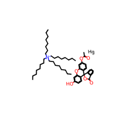 CC(=O)Oc1ccc2c(c1)Oc1cc(O)ccc1C21OC(=O)c2ccccc21.CCCCCCCC[N+](CCCCCCCC)(CCCCCCCC)CCCCCCCC.[Hg]